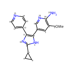 COc1cc(-c2[nH]c(C3CC3)nc2-c2ccncc2)cnc1N